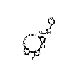 O=C(NCCN1CCOCC1)c1ccc2cc1OCCCCCOc1cncc(c1)-c1nc(ncc1F)N2